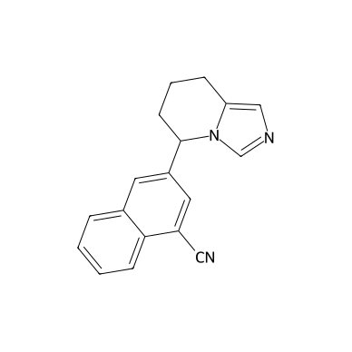 N#Cc1cc(C2CCCc3cncn32)cc2ccccc12